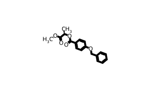 COC(=O)[C@@H](C)OC(=O)c1ccc(OCc2ccccc2)cc1